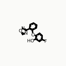 Oc1cc(F)ccc1Oc1ccccc1-c1ncon1